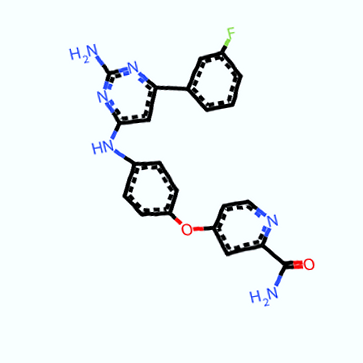 NC(=O)c1cc(Oc2ccc(Nc3cc(-c4cccc(F)c4)nc(N)n3)cc2)ccn1